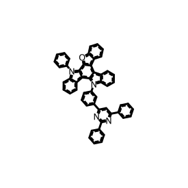 c1ccc(-c2cc(-c3cccc(-n4c5ccccc5c5c6c7ccccc7oc6c6c(c7ccccc7n6-c6ccccc6)c54)c3)nc(-c3ccccc3)n2)cc1